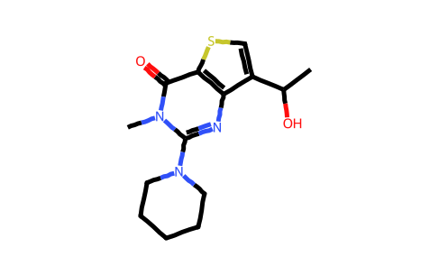 CC(O)c1csc2c(=O)n(C)c(N3CCCCC3)nc12